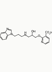 O=C(O)c1cccnc1OCC(O)CNCCCn1cnc2ccccc21